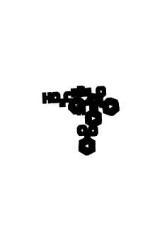 CCCCc1c(-c2cc(C(=O)O)ccn2)n(-c2ccc(OC(=O)c3ccccc3)cc2)n(-c2ccccc2)c1=O